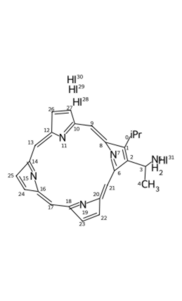 CC(C)C1=C(C(C)N)C2=NC1=CC1=NC(=CC3=NC(=CC4=NC(=C2)C=C4)C=C3)C=C1.I.I.I.I